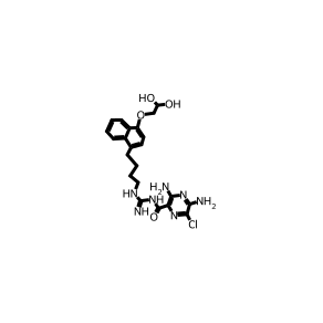 N=C(NCCCCc1ccc(OCC(O)O)c2ccccc12)NC(=O)c1nc(Cl)c(N)nc1N